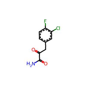 NC(=O)C(=O)Cc1ccc(F)c(Cl)c1